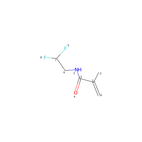 C=C(C)C(=O)NCC(F)F